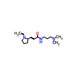 C=CN1CCCC1C=CC(=O)NCCCN(C)C